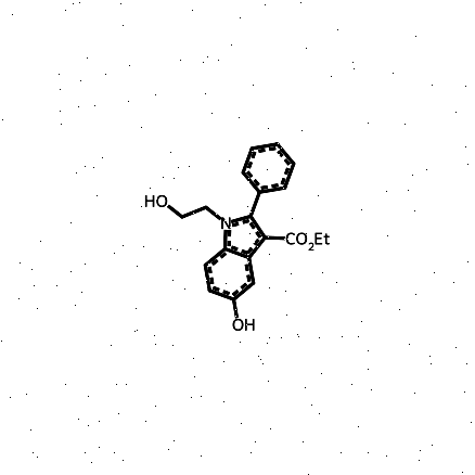 CCOC(=O)c1c(-c2ccccc2)n(CCO)c2ccc(O)cc12